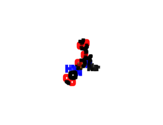 Cc1cnc(C[S+]([O-])c2nc3cc4c(cc3[nH]2)OCCO4)c(C)c1OCC1COC(C)(C)OC1.[Na]